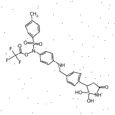 Cc1ccc(S(=O)(=O)N(OC(=O)C(F)(F)F)c2ccc(NCc3ccc(C4CC(=O)NS4(O)O)cc3)cc2)cc1